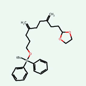 C=C(CCCO[Si](c1ccccc1)(c1ccccc1)C(C)(C)C)CCC(=C)CCC1OCCO1